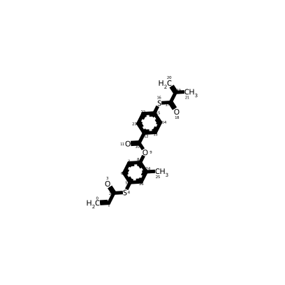 C=CC(=O)Sc1ccc(OC(=O)c2ccc(SC(=O)C(=C)C)cc2)c(C)c1